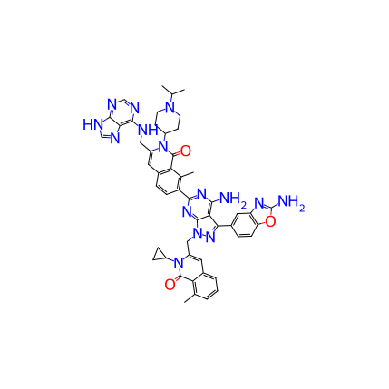 Cc1cccc2cc(Cn3nc(-c4ccc5oc(N)nc5c4)c4c(N)nc(-c5ccc6cc(CNc7ncnc8[nH]cnc78)n(C7CCN(C(C)C)CC7)c(=O)c6c5C)nc43)n(C3CC3)c(=O)c12